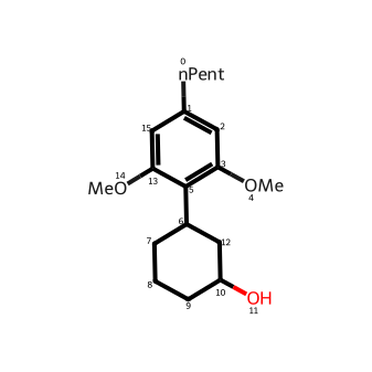 CCCCCc1cc(OC)c(C2CCCC(O)C2)c(OC)c1